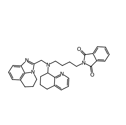 O=C1c2ccccc2C(=O)N1CCCCN(Cc1nc2cccc3c2n1CCC3)C1CCCc2cccnc21